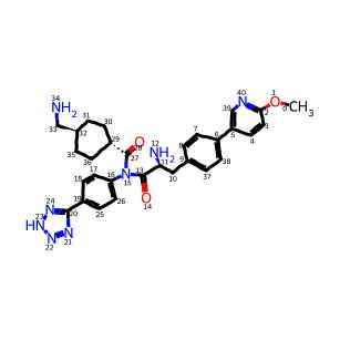 COc1ccc(-c2ccc(C[C@H](N)C(=O)N(c3ccc(-c4nn[nH]n4)cc3)C(=O)[C@H]3CC[C@H](CN)CC3)cc2)cn1